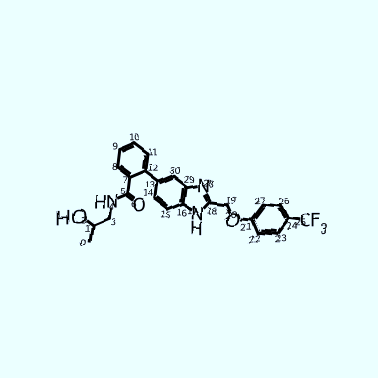 CC(O)CNC(=O)c1ccccc1-c1ccc2[nH]c(COc3ccc(C(F)(F)F)cc3)nc2c1